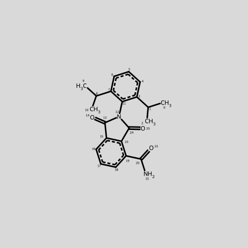 CC(C)c1cccc(C(C)C)c1N1C(=O)c2cccc(C(N)=O)c2C1=O